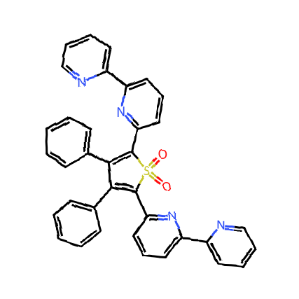 O=S1(=O)C(c2cccc(-c3ccccn3)n2)=C(c2ccccc2)C(c2ccccc2)=C1c1cccc(-c2ccccn2)n1